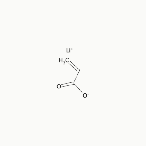 C=CC(=O)[O-].[Li+]